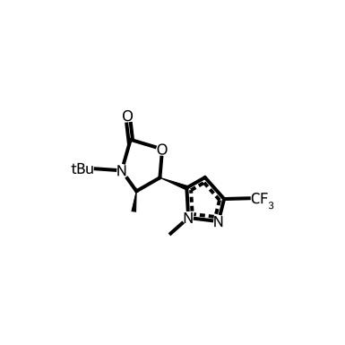 C[C@@H]1[C@H](c2cc(C(F)(F)F)nn2C)OC(=O)N1C(C)(C)C